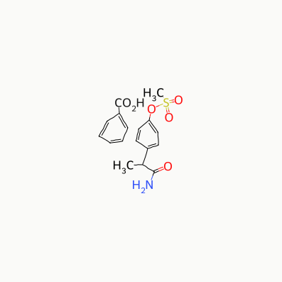 CC(C(N)=O)c1ccc(OS(C)(=O)=O)cc1.O=C(O)c1ccccc1